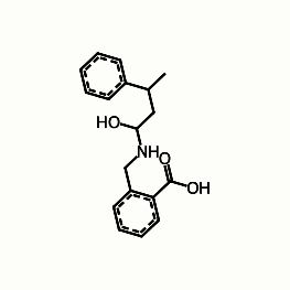 CC(CC(O)NCc1ccccc1C(=O)O)c1ccccc1